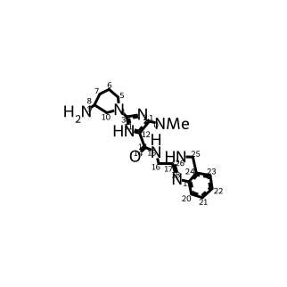 CNc1nc(N2CCCC(N)C2)[nH]c1C(=O)NCC1=Nc2ccccc2CN1